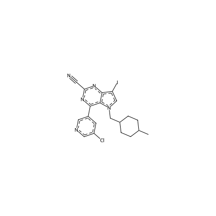 CC1CCC(Cn2cc(I)c3nc(C#N)nc(-c4cncc(Cl)c4)c32)CC1